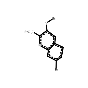 CCOC(=O)c1nc2cc(Br)ccc2cc1SCC